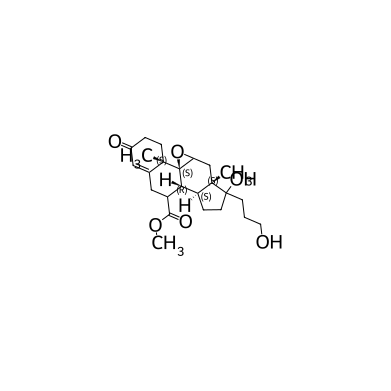 COC(=O)C1CC2=CC(=O)CC[C@]2(C)[C@]23OC2C[C@@]2(C)[C@@H](CCC2(O)CCCO)[C@H]13